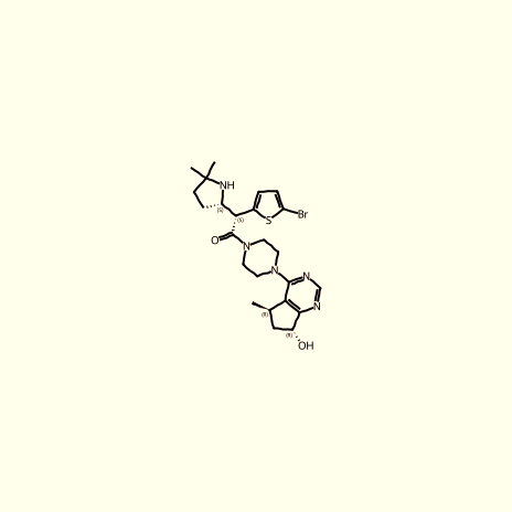 C[C@@H]1C[C@@H](O)c2ncnc(N3CCN(C(=O)[C@@H](c4ccc(Br)s4)[C@@H]4CCC(C)(C)N4)CC3)c21